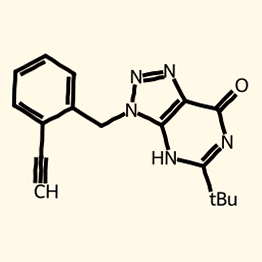 C#Cc1ccccc1Cn1nnc2c(=O)nc(C(C)(C)C)[nH]c21